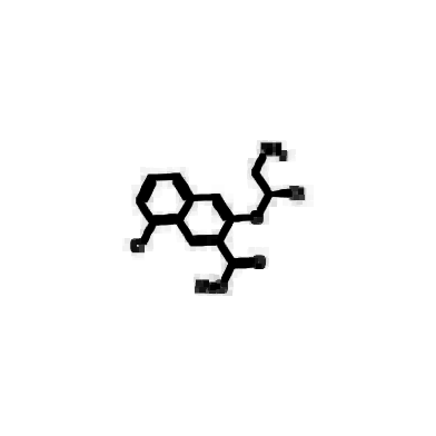 CC[C@H](CN)Oc1cc2cccc(Cl)c2cc1C(=O)OC